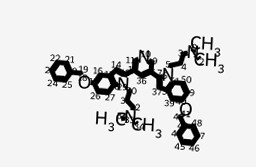 CN(C)CCCn1c(-c2cncc(-c3cc4cc(OCc5ccccc5)ccc4n3CCCN(C)C)c2)cc2cc(OCc3ccccc3)ccc21